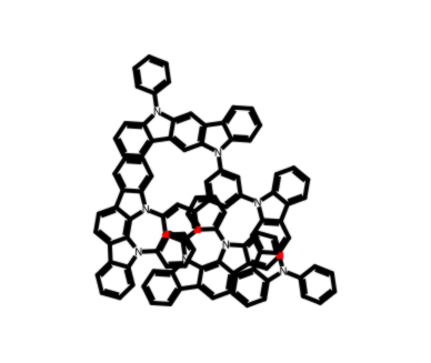 c1ccc(-n2c3ccccc3c3cc4c(cc32)c2ccccc2n4-c2cc(-c3cc(-n4c5ccccc5c5ccc6c7ccccc7n(-c7ccccc7)c6c54)cc(-n4c5ccccc5c5ccc6c7ccccc7n(-c7ccccc7)c6c54)c3)cc(-n3c4ccccc4c4cc5c(cc43)c3ccccc3n5-c3ccccc3)c2)cc1